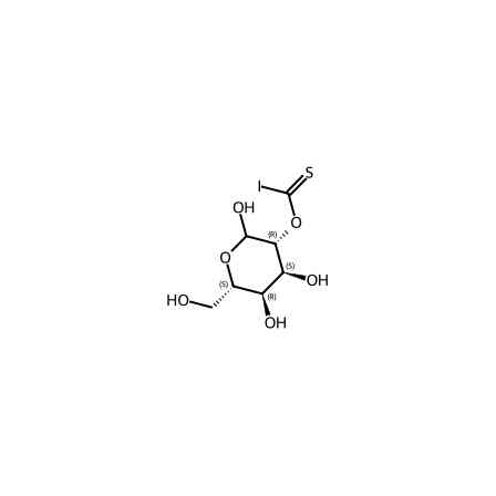 OC[C@@H]1OC(O)[C@H](OC(=S)I)[C@@H](O)[C@H]1O